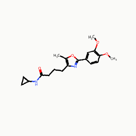 COc1ccc(-c2nc(CCCC(=O)NC3CC3)c(C)o2)cc1OC